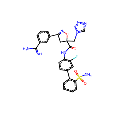 N=C(N)c1cccc(C2=NOC(Cn3cnnn3)(C(=O)Nc3ccc(-c4ccccc4S(N)(=O)=O)cc3F)C2)c1